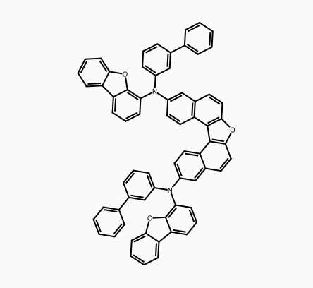 c1ccc(-c2cccc(N(c3ccc4c(ccc5oc6ccc7cc(N(c8cccc(-c9ccccc9)c8)c8cccc9c8oc8ccccc89)ccc7c6c54)c3)c3cccc4c3oc3ccccc34)c2)cc1